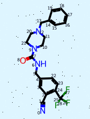 N#Cc1cc(CNC(=O)N2CCN(Cc3ccccc3)CC2)ccc1C(F)(F)F